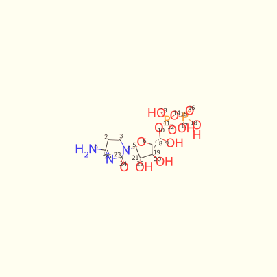 Nc1ccn([C@@H]2O[C@H](C(O)OP(=O)(O)OP(=O)(O)O)[C@@H](O)[C@@H]2O)c(=O)n1